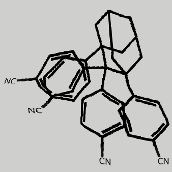 N#Cc1ccc(C23CC4CC(C2)CC(c2ccc(C#N)cc2)(C4)C3(c2ccc(C#N)cc2)c2ccc(C#N)cc2)cc1